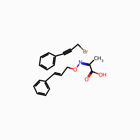 BrCC#Cc1ccccc1.CC(=NOCC=Cc1ccccc1)C(=O)O